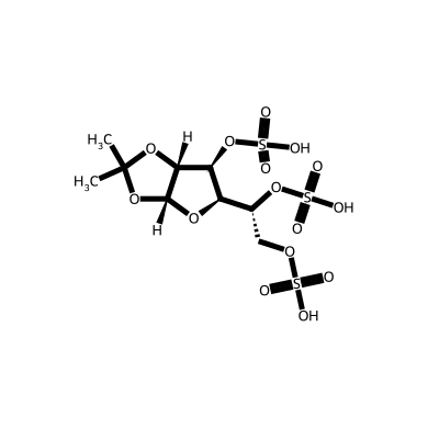 CC1(C)O[C@H]2O[C@H]([C@@H](COS(=O)(=O)O)OS(=O)(=O)O)[C@H](OS(=O)(=O)O)[C@H]2O1